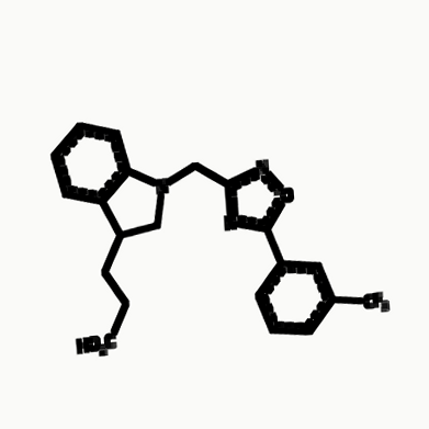 O=C(O)CCC1CN(Cc2noc(-c3cccc(C(F)(F)F)c3)n2)c2ccccc21